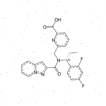 CC[C@H](c1ccc(F)cc1F)N(Cc1cccc(C(=O)O)n1)C(=O)c1cc2ccccn2n1